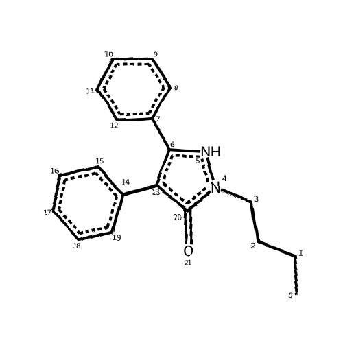 CCCCn1[nH]c(-c2ccccc2)c(-c2ccccc2)c1=O